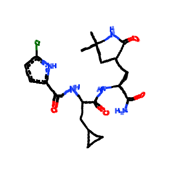 CC1(C)CC(CC(NC(=O)C(CC2CC2)NC(=O)c2ccc(Cl)[nH]2)C(N)=O)C(=O)N1